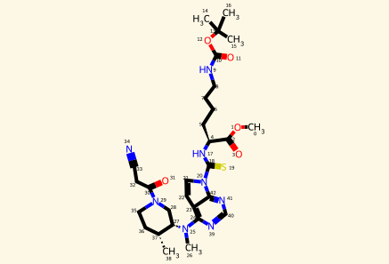 COC(=O)[C@H](CCCCNC(=O)OC(C)(C)C)NC(=S)n1ccc2c(N(C)[C@H]3CN(C(=O)CC#N)CC[C@H]3C)ncnc21